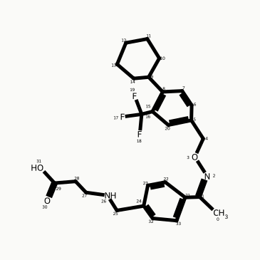 CC(=NOCc1ccc(C2CCCCC2)c(C(F)(F)F)c1)c1ccc(CNCCC(=O)O)cc1